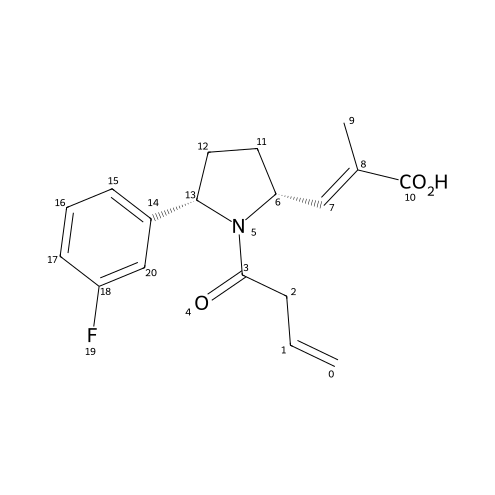 C=CCC(=O)N1[C@@H](/C=C(\C)C(=O)O)CC[C@H]1c1cccc(F)c1